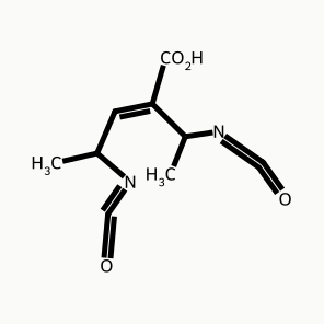 CC(C=C(C(=O)O)C(C)N=C=O)N=C=O